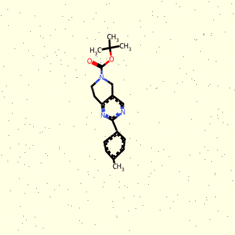 Cc1ccc(-c2ncc3c(n2)CCN(C(=O)OC(C)(C)C)C3)cc1